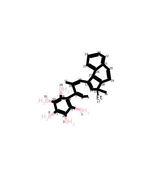 Bc1c(B)c(B)c(C(=C/C)/C(C)=C\C2=C[C@](C)(CC)c3ccc4ccccc4c32)c(B)c1B